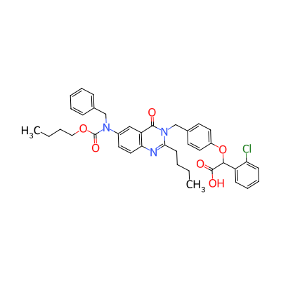 CCCCOC(=O)N(Cc1ccccc1)c1ccc2nc(CCCC)n(Cc3ccc(OC(C(=O)O)c4ccccc4Cl)cc3)c(=O)c2c1